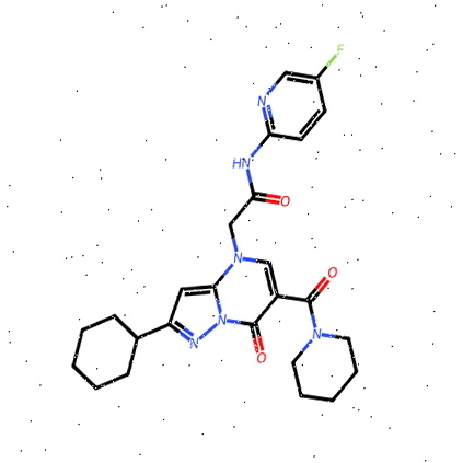 O=C(Cn1cc(C(=O)N2CCCCC2)c(=O)n2nc(C3CCCCC3)cc12)Nc1ccc(F)cn1